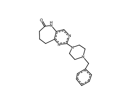 O=C1CCCc2nc(N3CCN(Cc4ccccc4)CC3)ncc2N1